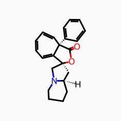 O=C1O[C@]2(C[C@H]3CCCCN3C2)C2=CC=CC=C[C@@]12c1ccccc1